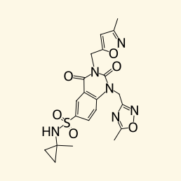 Cc1cc(Cn2c(=O)c3cc(S(=O)(=O)NC4(C)CC4)ccc3n(Cc3noc(C)n3)c2=O)on1